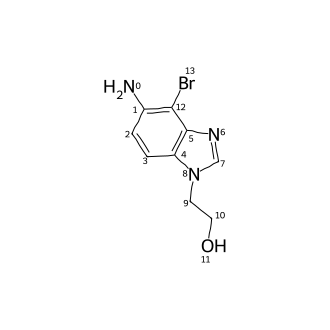 Nc1ccc2c(ncn2CCO)c1Br